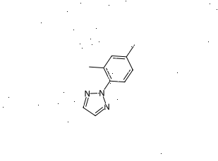 Cc1ccc(-n2nccn2)c(C)c1